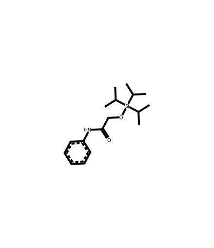 CC(C)[Si](OCC(=O)Nc1ccccc1)(C(C)C)C(C)C